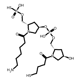 NCCCCCC(=O)N1C[C@H](OP(=O)(O)OC[C@@H]2C[C@@H](O)CN2C(=O)CCCS)C[C@H]1COP(=O)(O)S